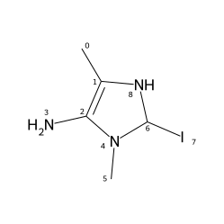 CC1=C(N)N(C)C(I)N1